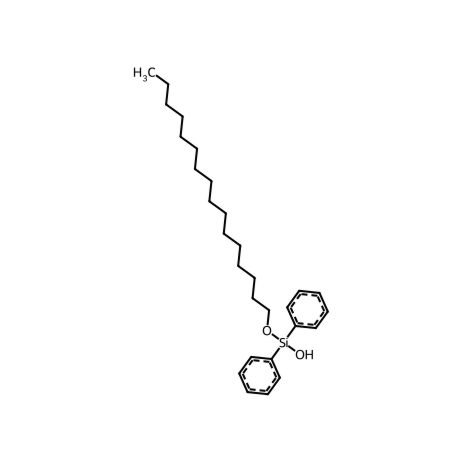 CCCCCCCCCCCCCCCCO[Si](O)(c1ccccc1)c1ccccc1